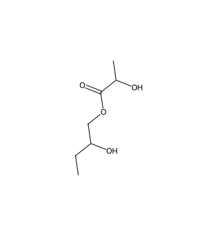 CCC(O)COC(=O)C(C)O